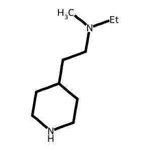 CCN(C)CCC1CCNCC1